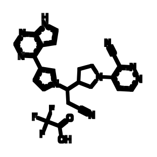 N#CCC(C1CCN(c2ccnnc2C#N)C1)n1ccc(-c2ncnc3[nH]ccc23)c1.O=C(O)C(F)(F)F